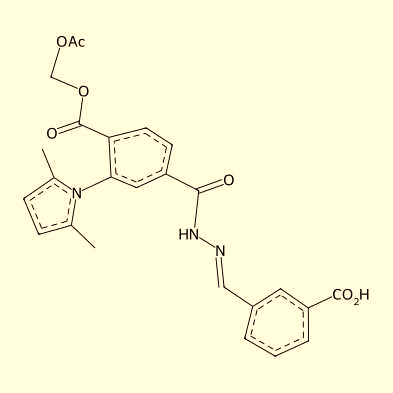 CC(=O)OCOC(=O)c1ccc(C(=O)N/N=C/c2cccc(C(=O)O)c2)cc1-n1c(C)ccc1C